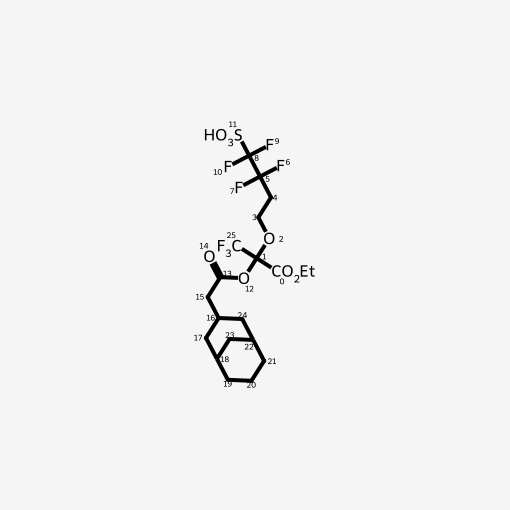 CCOC(=O)C(OCCC(F)(F)C(F)(F)S(=O)(=O)O)(OC(=O)CC1CC2CCCC(C2)C1)C(F)(F)F